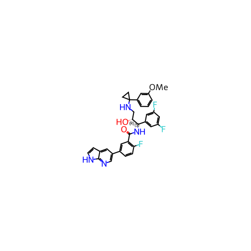 COc1cccc(C2(NC[C@@H](O)[C@@H](NC(=O)c3cc(-c4cnc5[nH]ccc5c4)ccc3F)c3cc(F)cc(F)c3)CC2)c1